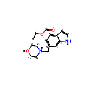 CCOC=O.c1cc2ccc(CN3CCOCC3)cc2[nH]1